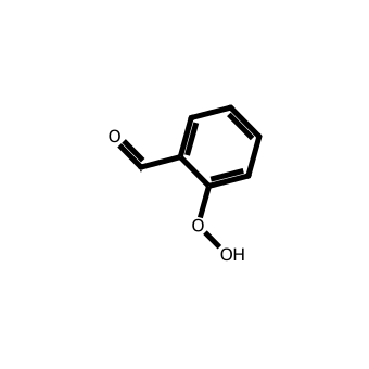 O=[C]c1ccccc1OO